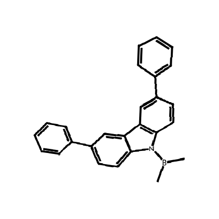 CB(C)n1c2ccc(-c3ccccc3)cc2c2cc(-c3ccccc3)ccc21